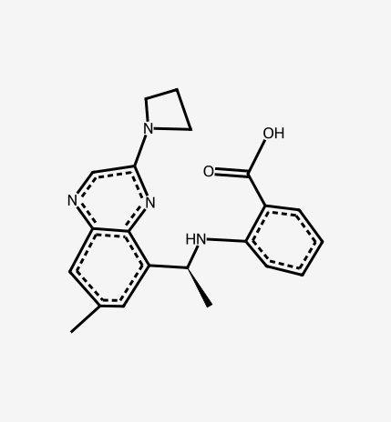 Cc1cc([C@H](C)Nc2ccccc2C(=O)O)c2nc(N3CCC3)cnc2c1